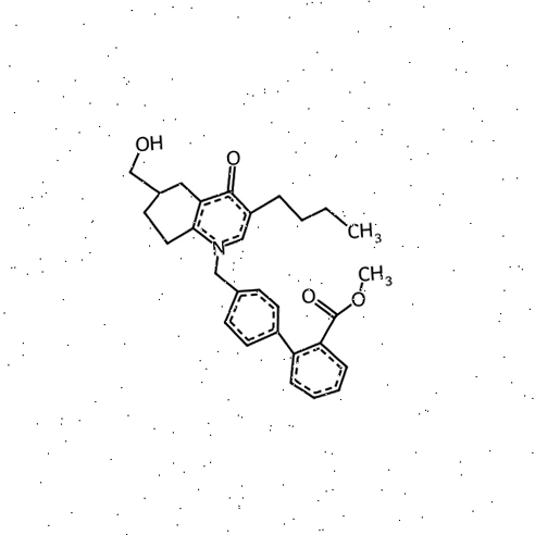 CCCCc1cn(Cc2ccc(-c3ccccc3C(=O)OC)cc2)c2c(c1=O)CC(CO)CC2